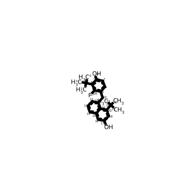 CC(C)(C)c1c(O)ccc(Cc2cccc3cc(O)cc(C(C)(C)C)c23)c1F